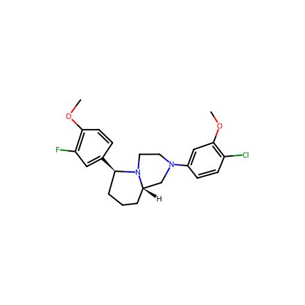 COc1ccc([C@@H]2CCC[C@H]3CN(c4ccc(Cl)c(OC)c4)CCN32)cc1F